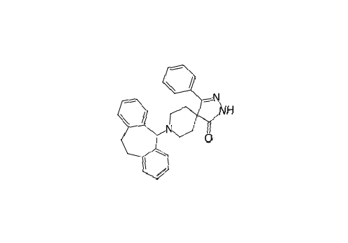 O=C1NN=C(c2ccccc2)C12CCN(C1c3ccccc3CCc3ccccc31)CC2